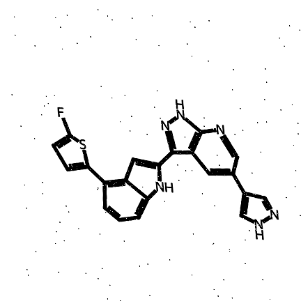 Fc1ccc(-c2cccc3[nH]c(-c4n[nH]c5ncc(-c6cn[nH]c6)cc45)cc23)s1